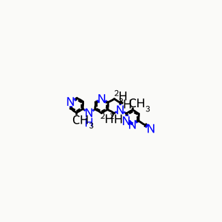 [2H]C1([2H])Cc2ncc(Nc3ccncc3C)cc2C([2H])([2H])N1c1nnc(C#N)cc1C